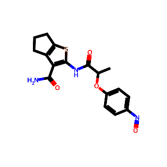 CC(Oc1ccc(N=O)cc1)C(=O)Nc1sc2c(c1C(N)=O)CCC2